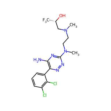 CN(CCN(C)c1nnc(-c2cccc(Cl)c2Cl)c(N)n1)C[C@@H](O)C(F)(F)F